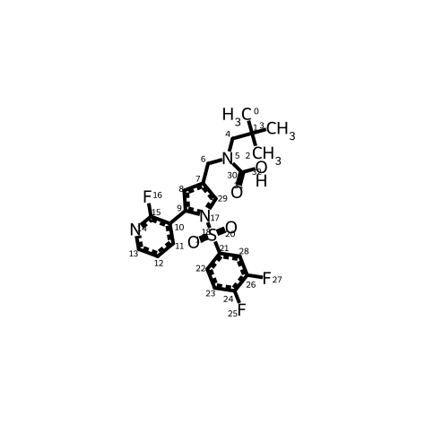 CC(C)(C)CN(Cc1cc(-c2cccnc2F)n(S(=O)(=O)c2ccc(F)c(F)c2)c1)C(=O)O